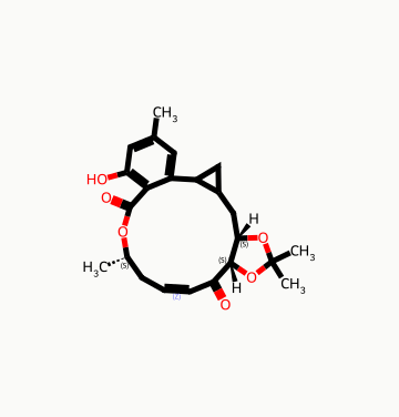 Cc1cc(O)c2c(c1)C1CC1C[C@@H]1OC(C)(C)O[C@@H]1C(=O)/C=C\C[C@H](C)OC2=O